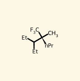 CCC[C@@](C)(C(CC)CC)C(F)(F)F